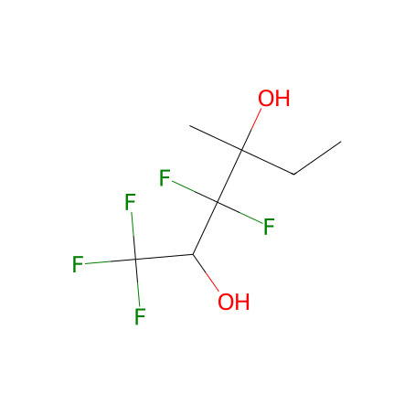 CCC(C)(O)C(F)(F)C(O)C(F)(F)F